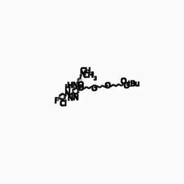 CN(C)C/C=C/C(=O)Nc1cc2c(Nc3ccc(F)c(Cl)c3)ncnc2cc1OCCCCOCCCCOCCCCCC(=O)OC(C)(C)C